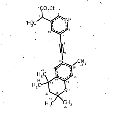 CCOC(=O)C(C)c1cncc(C#Cc2cc3c(cc2C)SC(C)(C)CC3(C)C)c1